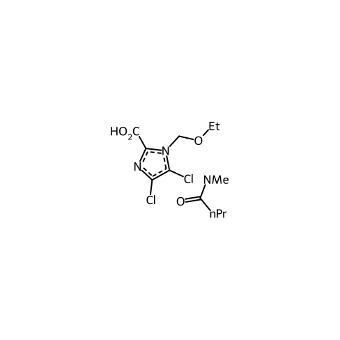 CCCC(=O)NC.CCOCn1c(C(=O)O)nc(Cl)c1Cl